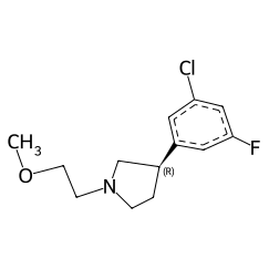 COCCN1CC[C@H](c2cc(F)cc(Cl)c2)C1